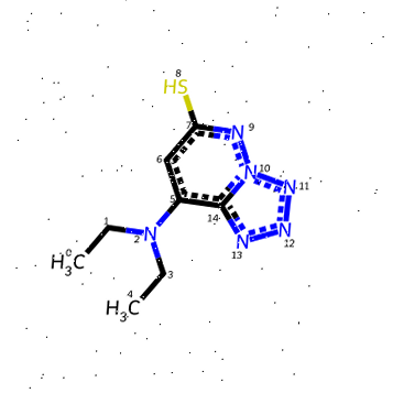 CCN(CC)c1cc(S)nn2nnnc12